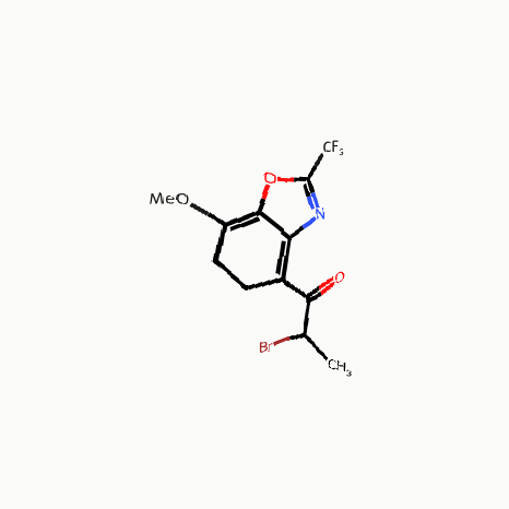 COC1=c2oc(C(F)(F)F)nc2=C(C(=O)C(C)Br)CC1